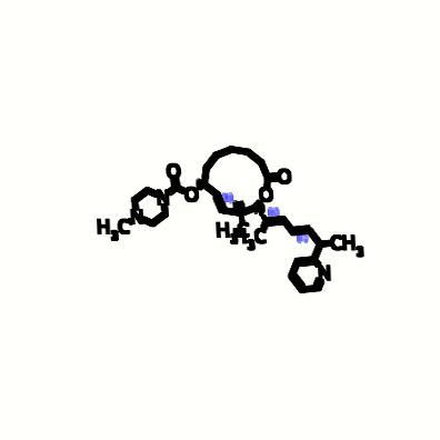 C/C(=C\C=C\C(C)c1ccccn1)[C@H]1OC(=O)CCCCC[C@@H](OC(=O)N2CCN(C)CC2)/C=C/[C@@H]1C